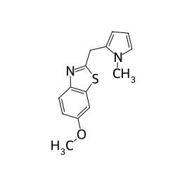 COc1ccc2nc(Cc3cccn3C)sc2c1